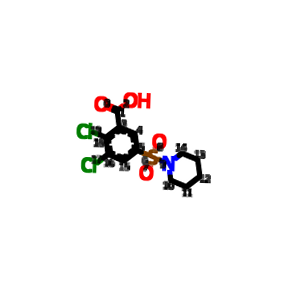 O=C(O)c1cc(S(=O)(=O)N2CCCCC2)cc(Cl)c1Cl